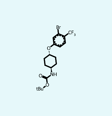 CC(C)(C)OC(=O)N[C@H]1CC[C@H](Oc2ccc(C(F)(F)F)c(Br)c2)CC1